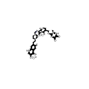 Cn1[nH]c(=O)c(=O)nc1SCC1=C(C(=O)O)N2C(=O)[C@H](/N=C\N3CCN(CCc4cc5[nH]cc(C(=O)O)c(=O)c5cc4F)CC3)[C@@H]2SC1